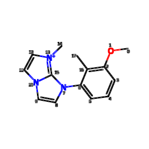 COc1cccc(-n2ccn3cc[n+](C)c23)c1C